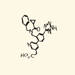 O=C(O)Cc1cncc(-c2ccc(-c3nn[nH]n3)cc2CN(Cc2ccccc2)C(=O)C2CC2)c1